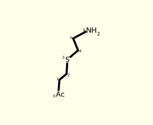 CC(=O)CCSCCN